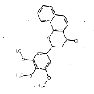 COc1cc(C2CC(O)c3ccc4ccccc4c3O2)cc(OC)c1OC